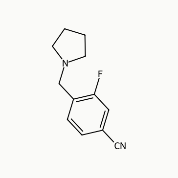 N#Cc1ccc(CN2CCCC2)c(F)c1